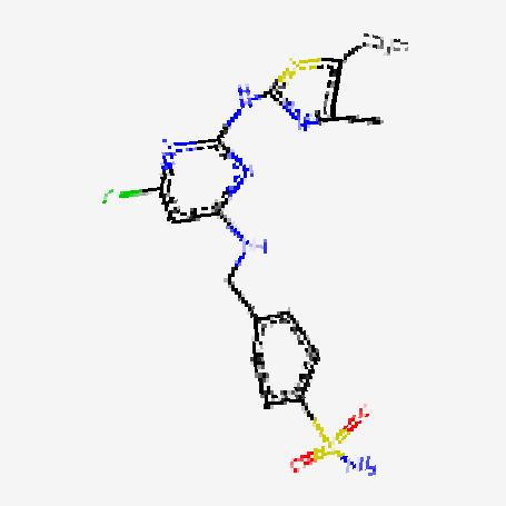 CCOC(=O)c1sc(Nc2nc(Cl)cc(NCc3ccc(S(N)(=O)=O)cc3)n2)nc1C